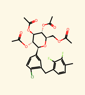 CC(=O)OC[C@H]1O[C@@H](c2ccc(Cl)c(Cc3ccc(C)c(F)c3F)c2)[C@H](OC(C)=O)[C@@H](OC(C)=O)[C@@H]1OC(C)=O